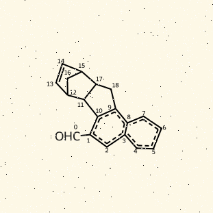 O=Cc1cc2ccccc2c2c1C1C3C=CC(C3)C1C2